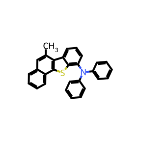 Cc1cc2ccccc2c2sc3c(N(c4ccccc4)c4ccccc4)cccc3c12